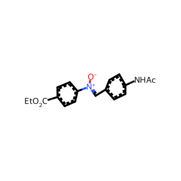 CCOC(=O)c1ccc([N+]([O-])=Cc2ccc(NC(C)=O)cc2)cc1